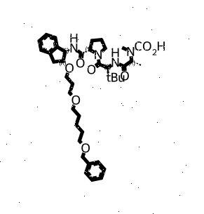 C[C@H](C(=O)N[C@H](C(=O)N1CCC[C@H]1C(=O)N[C@H]1c2ccccc2C[C@H]1OCCCOCCCCCOCc1ccccc1)C(C)(C)C)N(C)C(=O)O